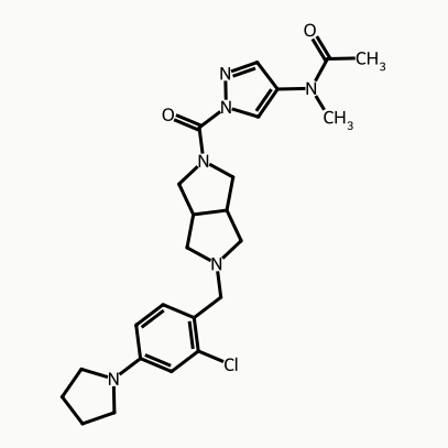 CC(=O)N(C)c1cnn(C(=O)N2CC3CN(Cc4ccc(N5CCCC5)cc4Cl)CC3C2)c1